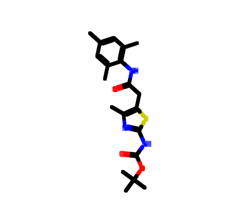 Cc1cc(C)c(NC(=O)Cc2sc(NC(=O)OC(C)(C)C)nc2C)c(C)c1